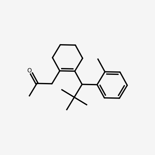 CC(=O)CC1=C(C(c2ccccc2C)C(C)(C)C)CCCC1